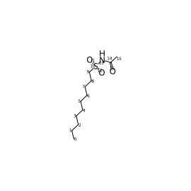 CCCCCCCCCCS(=O)(=O)NC(C)=O